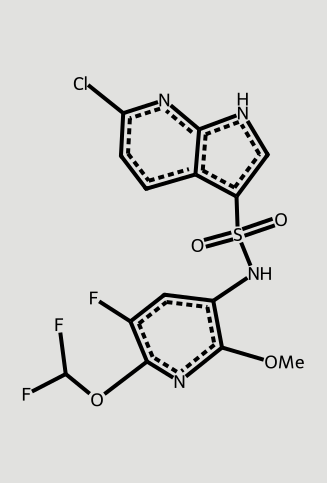 COc1nc(OC(F)F)c(F)cc1NS(=O)(=O)c1c[nH]c2nc(Cl)ccc12